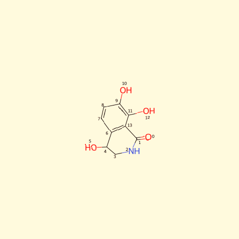 O=C1NCC(O)c2ccc(O)c(O)c21